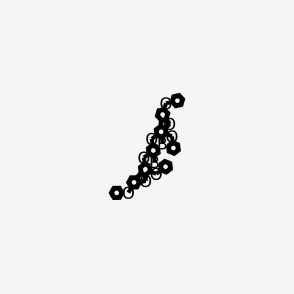 c1ccc(Oc2ccc3c(c2)oc2c4c5c(cc23)Oc2cc3c(cc2B5c2ccccc2O4)B2c4ccccc4Oc4c2c(cc2c4oc4cc(Oc5ccccc5)ccc42)O3)cc1